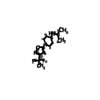 CC(C)NC1CCN(c2nc(C(C)(F)F)no2)CC1